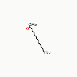 CCCCC=CCC=CCCCCCCCC(=O)OC